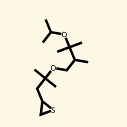 CC(C)OC(C)(C)C(C)COC(C)(C)CC1CS1